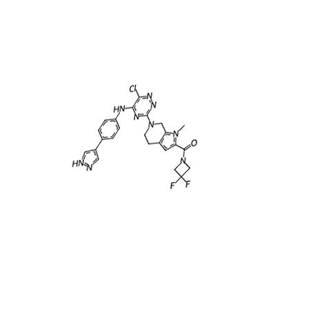 Cn1c(C(=O)N2CC(F)(F)C2)cc2c1CN(c1nnc(Cl)c(Nc3ccc(-c4cn[nH]c4)cc3)n1)CC2